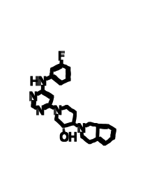 O[C@@H]1CN(c2cc(Nc3cccc(F)c3)ncn2)CC[C@H]1N1CCc2ccccc2C1